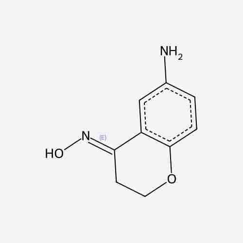 Nc1ccc2c(c1)/C(=N/O)CCO2